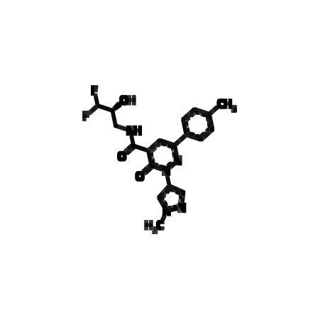 Cc1ccc(-c2cc(C(=O)NC[C@H](O)C(F)F)c(=O)n(-c3cnn(C)c3)n2)cc1